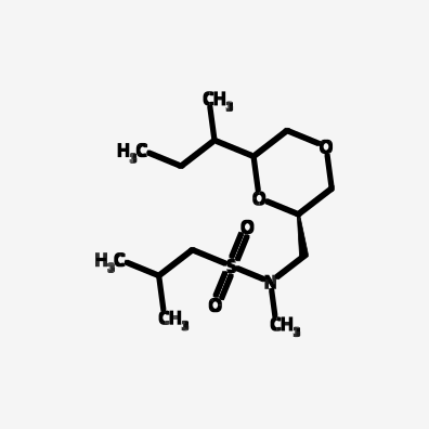 CCC(C)C1COC[C@@H](CN(C)S(=O)(=O)CC(C)C)O1